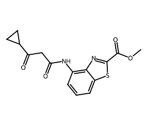 COC(=O)c1nc2c(NC(=O)CC(=O)C3CC3)cccc2s1